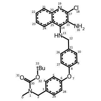 CN(Cc1ccc(Oc2ccc(CNc3c(N)c(Cl)nc4ccccc34)cc2)cc1)C(=O)OC(C)(C)C